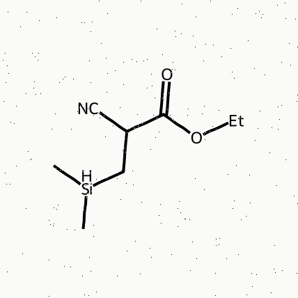 CCOC(=O)C(C#N)C[SiH](C)C